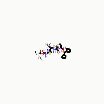 C/C=C(\C(=O)NC1C(=O)N2C(C(=O)OC(c3ccccc3)c3ccccc3)=CCS[C@H]12)c1csc(NC(=O)OC(C)(C)C)n1